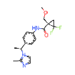 COC[C@@]1(C(=O)Nc2ccc([C@H](C)n3ccnc3C)cc2)CC1(F)F